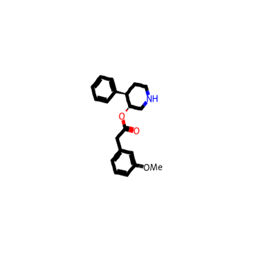 COc1cccc(CC(=O)O[C@H]2CNCC[C@@H]2c2ccccc2)c1